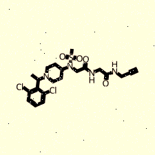 C#CCNC(=O)CNC(=O)CN(C1CCN(C(C)c2c(Cl)cccc2Cl)CC1)S(C)(=O)=O